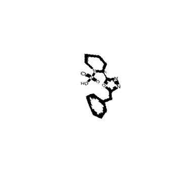 O=S(=O)(O)N1CCCC[C@H]1c1nnc(Cc2ccccc2)o1